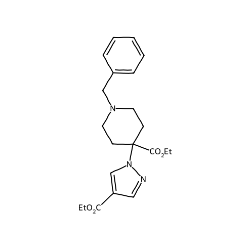 CCOC(=O)c1cnn(C2(C(=O)OCC)CCN(Cc3ccccc3)CC2)c1